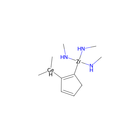 C[NH][Zr]([NH]C)([NH]C)[C]1=[C]([GeH]([CH3])[CH3])C=CC1